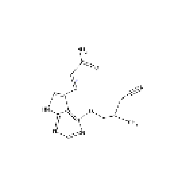 CC(CC#N)COc1ncnc2[nH]cc(/C=C/C(N)=O)c12